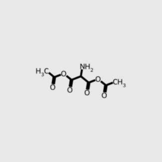 CC(=O)OC(=O)C(N)C(=O)OC(C)=O